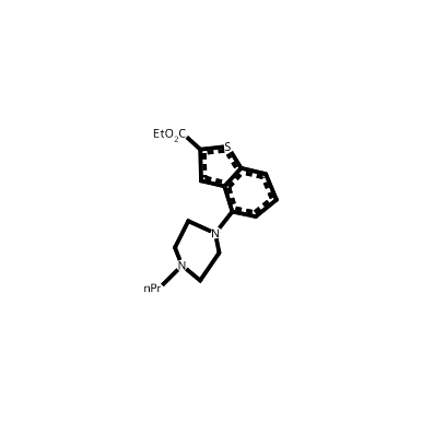 CCCN1CCN(c2cccc3sc(C(=O)OCC)cc23)CC1